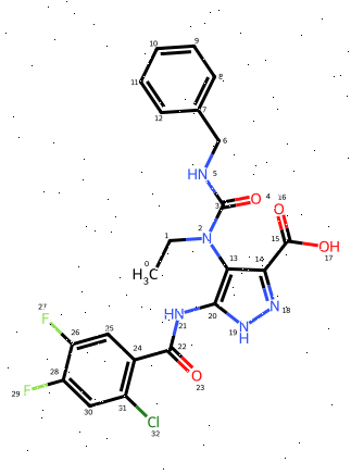 CCN(C(=O)NCc1ccccc1)c1c(C(=O)O)n[nH]c1NC(=O)c1cc(F)c(F)cc1Cl